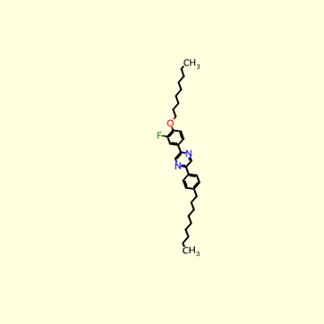 CCCCCCCCCOc1ccc(-c2cnc(-c3ccc(CCCCCCCCC)cc3)cn2)cc1F